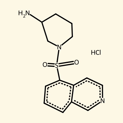 Cl.NC1CCCN(S(=O)(=O)c2cccc3cnccc23)C1